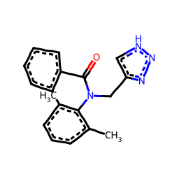 Cc1cccc(C)c1N(Cc1c[nH]nn1)C(=O)c1ccccc1